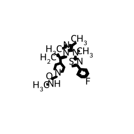 C=C/C(=C\n1c(C)nc(CC)c1N(C)c1nc(-c2ccc(F)cc2)cs1)C1CCN(CC(=O)NC)CC1